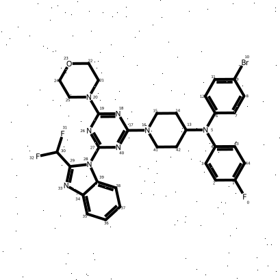 Fc1ccc(N(c2ccc(Br)cc2)C2CCN(c3nc(N4CCOCC4)nc(-n4c(C(F)F)nc5ccccc54)n3)CC2)cc1